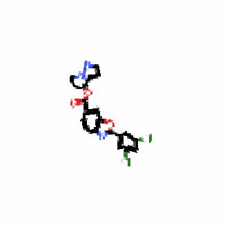 O=C(OC1CCn2nccc21)c1ccc2nc(-c3cc(Cl)cc(Cl)c3)oc2c1